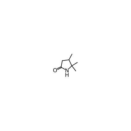 CC1CC(=O)NC1(C)C